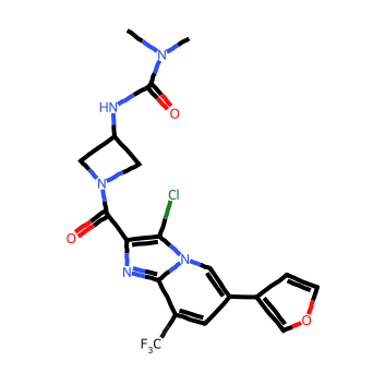 CN(C)C(=O)NC1CN(C(=O)c2nc3c(C(F)(F)F)cc(-c4ccoc4)cn3c2Cl)C1